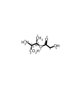 C[C@@H](OC(=O)CO)[C@H](N)C(=O)O